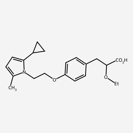 CCOC(Cc1ccc(OCCn2c(C)ccc2C2CC2)cc1)C(=O)O